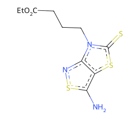 CCOC(=O)CCCn1c(=S)sc2c(N)snc21